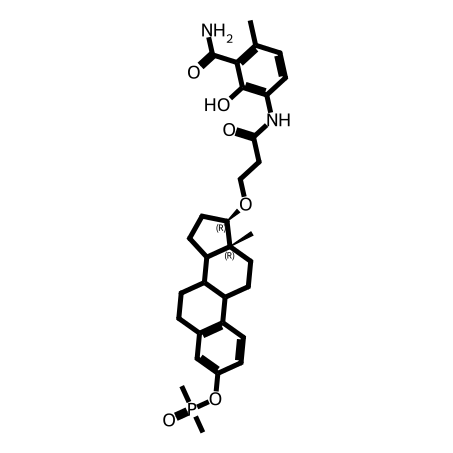 Cc1ccc(NC(=O)CCO[C@@H]2CCC3C4CCc5cc(OP(C)(C)=O)ccc5C4CC[C@]32C)c(O)c1C(N)=O